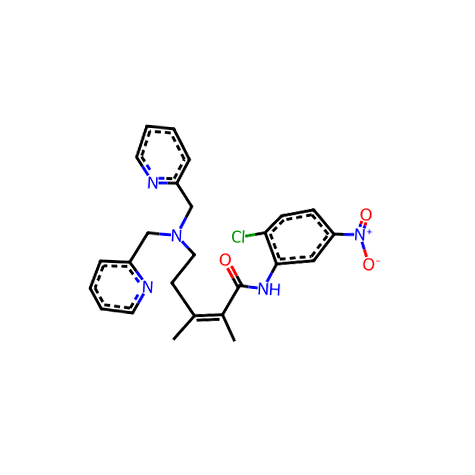 C/C(CCN(Cc1ccccn1)Cc1ccccn1)=C(\C)C(=O)Nc1cc([N+](=O)[O-])ccc1Cl